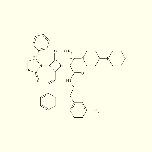 O=C[C@@H](C(C(=O)NCCc1cccc(C(F)(F)F)c1)N1C(=O)C(N2C(=O)OC[C@@H]2c2ccccc2)C1C=Cc1ccccc1)N1CCC(N2CCCCC2)CC1